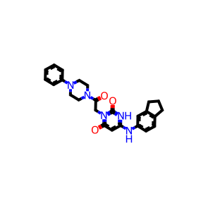 O=C(Cn1c(=O)cc(Nc2ccc3c(c2)CCC3)[nH]c1=O)N1CCN(c2ccccc2)CC1